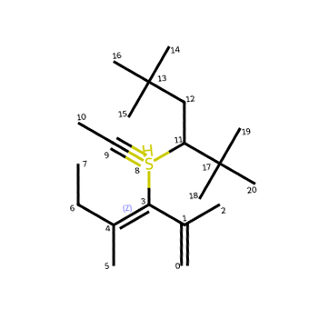 C=C(C)/C(=C(\C)CC)[SH](#CC)C(CC(C)(C)C)C(C)(C)C